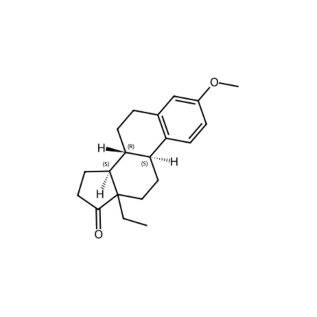 CCC12CC[C@@H]3c4ccc(OC)cc4CC[C@H]3[C@@H]1CCC2=O